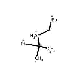 CCC(C)C[SiH2]C(C)(C)CC